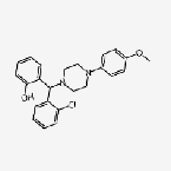 COc1ccc(N2CCN(C(c3ccccc3O)c3ccccc3Cl)CC2)cc1